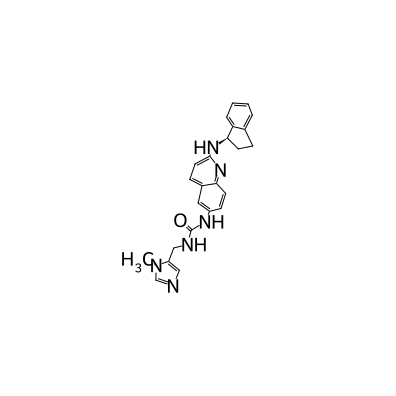 Cn1cncc1CNC(=O)Nc1ccc2nc(N[C@@H]3CCc4ccccc43)ccc2c1